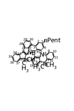 CCCCCc1cc2c3c(c1)N1c4ccccc4C(C)(C)c4cccc(c41)B3n1c3c(c4cccc-2c41)-c1ccccc1C3(C)C